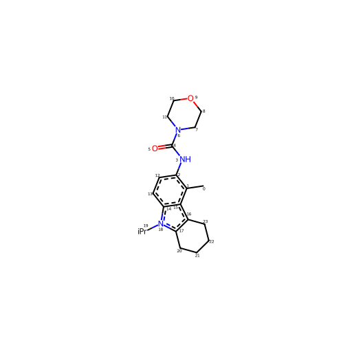 Cc1c(NC(=O)N2CCOCC2)ccc2c1c1c(n2C(C)C)CCCC1